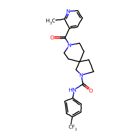 Cc1ncccc1C(=O)N1CCC2(CCN(C(=O)Nc3ccc(C(F)(F)F)cc3)C2)CC1